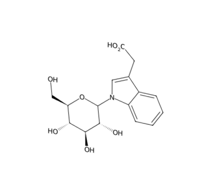 O=C(O)Cc1cn(C2O[C@H](CO)[C@@H](O)[C@H](O)[C@H]2O)c2ccccc12